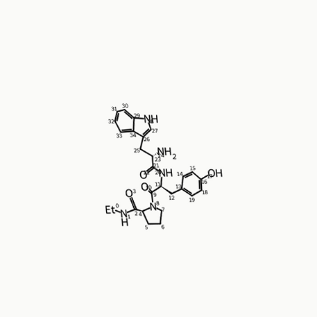 CCNC(=O)[C@@H]1CCCN1C(=O)[C@H](Cc1ccc(O)cc1)NC(=O)[C@@H](N)Cc1c[nH]c2ccccc12